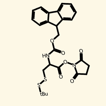 CC(C)(C)SSCC(NC(=O)OCC1c2ccccc2-c2ccccc21)C(=O)ON1C(=O)CCC1=O